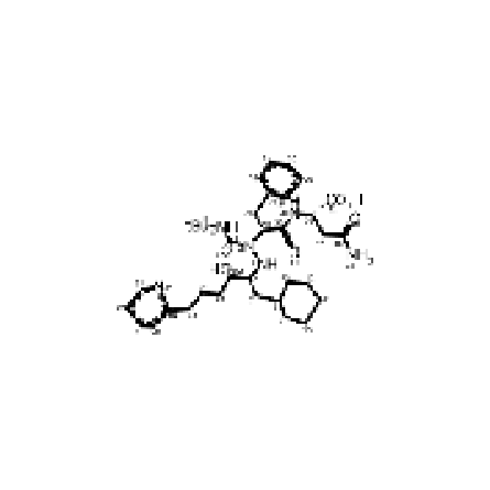 CC(C)(C)NC(=O)N(N[C@@H](CC1CCCCC1)[C@@H](O)CCCc1ccccn1)[C@@H](Cc1ccccc1)C(=O)N[C@@H](CC(N)=O)C(=O)O